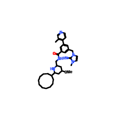 COC1CC(CNC(=O)c2cc(Cn3ccn(C)c3=N)cc(-c3ccncc3C)c2)NC(C2CCCCCCCCCC2)C1